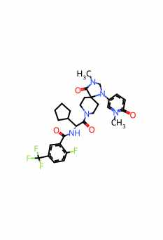 CN1CN(c2ccc(=O)n(C)c2)C2(CCN(C(=O)[C@H](NC(=O)c3cc(C(F)(F)F)ccc3F)C3CCCC3)CC2)C1=O